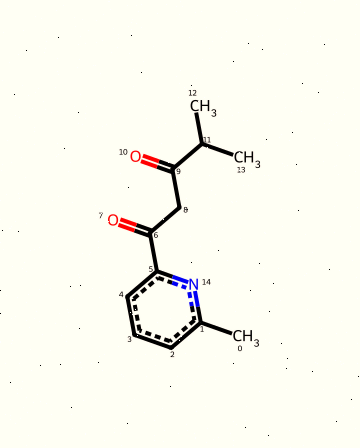 Cc1cccc(C(=O)CC(=O)C(C)C)n1